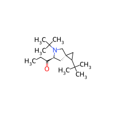 CCC(=O)[C@@H]1C[C@@]2(CC2C(C)(C)C)CN1C(C)(C)C